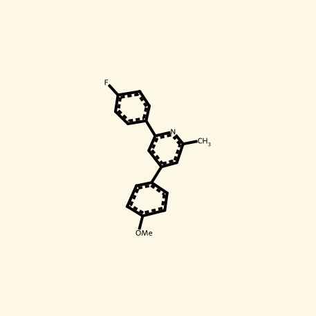 COc1ccc(-c2cc(C)nc(-c3ccc(F)cc3)c2)cc1